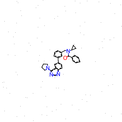 O=C(c1ccccc1)N(Cc1cccc(-c2ccc3ncnc(N4CCCC4)c3c2)c1)C1CC1